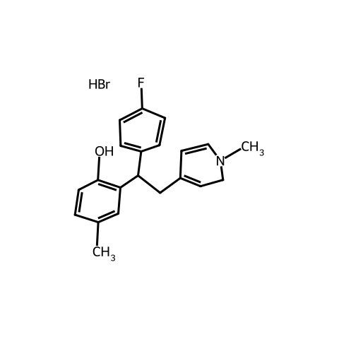 Br.Cc1ccc(O)c(C(CC2=CCN(C)C=C2)c2ccc(F)cc2)c1